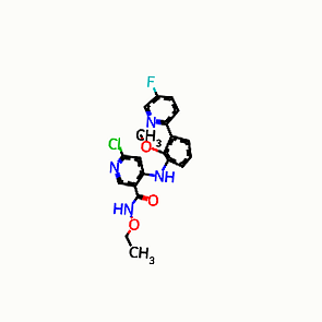 CCONC(=O)c1cnc(Cl)cc1Nc1cccc(-c2ccc(F)cn2)c1OC